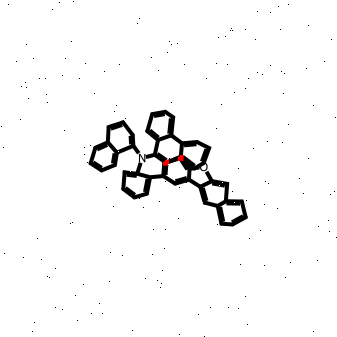 c1ccc(N(c2cccc3ccccc23)c2cc3ccccc3c3ccccc23)c(-c2ccc3oc4cc5ccccc5cc4c3c2)c1